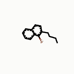 CCCCc1ccc2ccccc2c1[S]